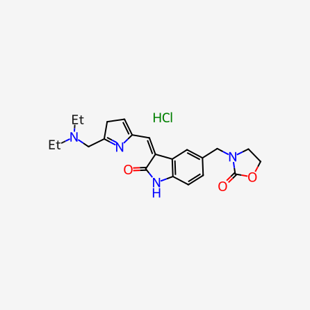 CCN(CC)CC1=NC(C=C2C(=O)Nc3ccc(CN4CCOC4=O)cc32)=CC1.Cl